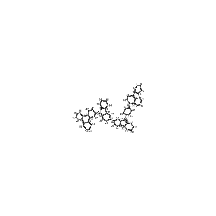 c1ccc2c(c1)-c1cccc3c(-c4ccc(-n5c6ccccc6c6ccc(-c7ccc8c(c7)c7ccccc7n8-c7ccc8c9ccccc9c9ccccc9c8c7)cc65)cc4)ccc-2c13